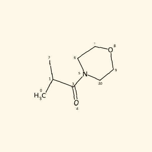 CC(I)C(=O)N1CCOCC1